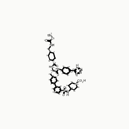 CC(C)(C)OC(=O)NC[C@H]1CC[C@H](C(=O)N[C@@H](Cc2ccc(-c3cncc(S(=O)(=O)NC4CCN(C(=O)O)CC4)c3)cc2)C(=O)Nc2ccc(-c3nnn[nH]3)cc2)CC1